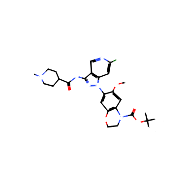 COc1cc2c(cc1-n1nc(NC(=O)C3CCN(C)CC3)c3cnc(Cl)cc31)OCCN2C(=O)OC(C)(C)C